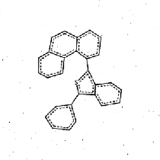 c1ccc(-c2sc(-c3cccc4ccc5ccccc5c34)c3ccccc23)cc1